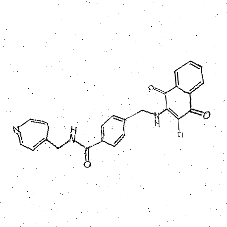 O=C(NCc1ccncc1)c1ccc(CNC2=C(Cl)C(=O)c3ccccc3C2=O)cc1